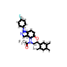 Cc1cc(C)c([C@@H](Oc2ccc3c(cnn3-c3ccc(F)cc3)c2)[C@H](C)NC(=O)C(F)(F)F)cc1C